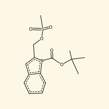 CC(C)(C)OC(=O)n1c(COS(C)(=O)=O)cc2ccccc21